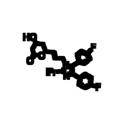 CC(C)c1nc(-c2ccc(F)cc2)c(-c2ccc(F)cc2)n1CC=CC1CC(O)CC(=O)O1